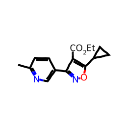 CCOC(=O)c1c(-c2ccc(C)nc2)noc1C1CC1